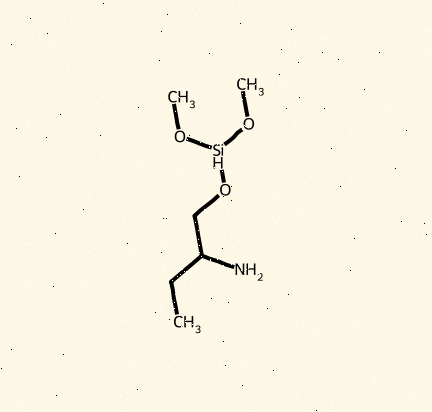 CCC(N)CO[SiH](OC)OC